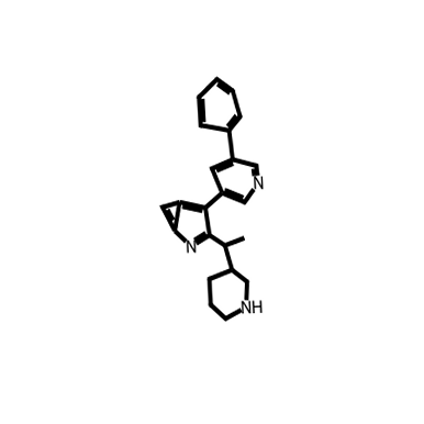 CC(c1nc2cc-2c1-c1cncc(-c2ccccc2)c1)C1CCCNC1